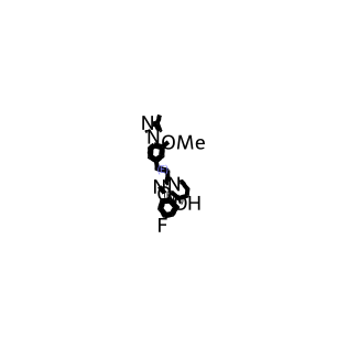 COc1cc(/C=C/C2=NO[C@]3(c4ccc(F)cc4)[C@H](O)CCCN23)ccc1-n1cnc(C)c1